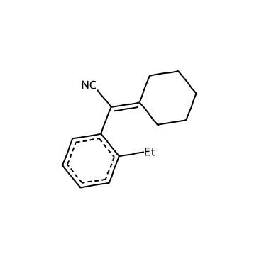 CCc1ccccc1C(C#N)=C1CCCCC1